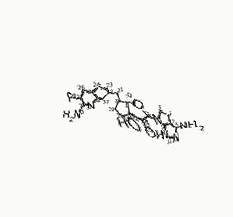 C[C@]12O[C@@H](n3ccc4c(N)ncnc43)C(O)[C@@]1(O)CC[C@H]2Cc1ccc2cc(F)c(N)nc2c1